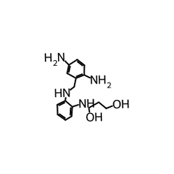 Nc1ccc(N)c(CNc2ccccc2NC(O)CCO)c1